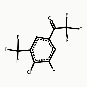 O=C(c1cc(F)c(Cl)c(C(F)(F)F)c1)C(F)(F)F